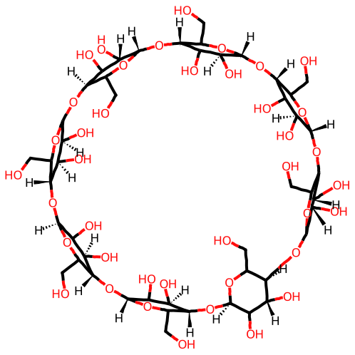 OCC1OC2O[C@@H]3C(CO)O[C@H](O[C@@H]4C(CO)O[C@H](O[C@@H]5C(CO)O[C@@H](O[C@@H]6C(CO)OC(O[C@@H]7C(CO)O[C@@H](O[C@@H]8C(CO)O[C@H](O[C@@H]9C(CO)O[C@H](OC1[C@H](O)[C@@H]2O)[C@@H](O)C9O)[C@@H](O)C8O)[C@@H](O)C7O)[C@@H](O)[C@H]6O)C(O)[C@H]5O)C(O)[C@H]4O)C(O)[C@H]3O